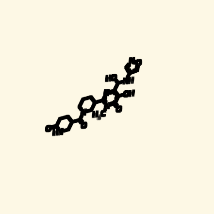 Cn1c(C2CCCN(C(=O)C3CCC(=O)NC3)C2)nc(C(O)Nc2cnoc2)c(O)c1=O